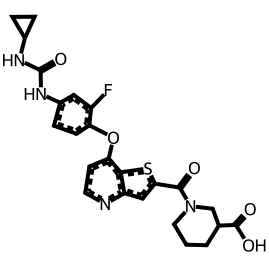 O=C(Nc1ccc(Oc2ccnc3cc(C(=O)N4CCCC(C(=O)O)C4)sc23)c(F)c1)NC1CC1